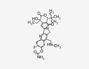 CCC1(O)C(=O)O[C@@H](C(C)(C)C)c2c1cc1n(c2=O)Cc2c-1nc1cc(F)c(OC(N)=O)cc1c2CNC